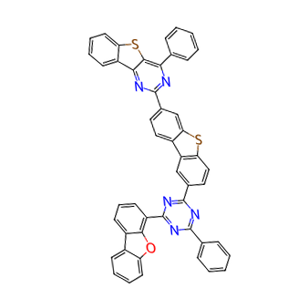 c1ccc(-c2nc(-c3ccc4sc5cc(-c6nc(-c7ccccc7)c7sc8ccccc8c7n6)ccc5c4c3)nc(-c3cccc4c3oc3ccccc34)n2)cc1